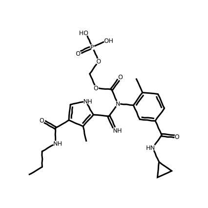 CCCNC(=O)c1c[nH]c(C(=N)N(C(=O)OCOP(=O)(O)O)c2cc(C(=O)NC3CC3)ccc2C)c1C